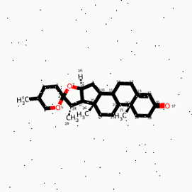 CC1CCC2(OC1)O[C@H]1CC3C4CCC5=CC(=O)CC[C@]5(C)C4CC[C@]3(C)C1[C@@H]2C